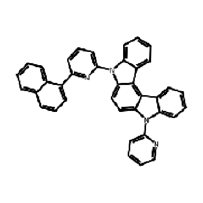 c1ccc(-n2c3ccccc3c3c4c5ccccc5n(-c5cccc(-c6cccc7ccccc67)n5)c4ccc32)nc1